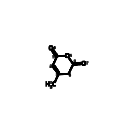 CC1=CC(=O)OC(=O)C1